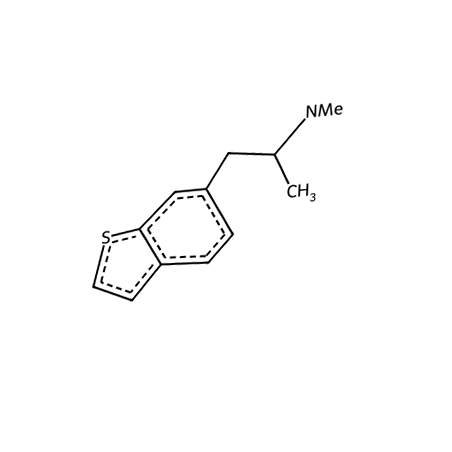 CNC(C)Cc1ccc2ccsc2c1